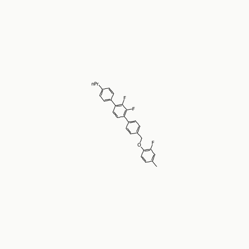 CCCc1ccc(-c2ccc(-c3ccc(COc4ccc(C)cc4F)cc3)c(F)c2F)cc1